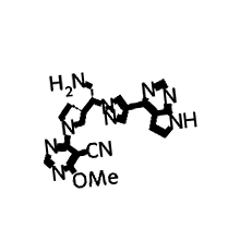 COc1ncnc(N2CC[C@H]([C@H](CN)n3cc(-c4ncnc5[nH]ccc45)cn3)C2)c1C#N